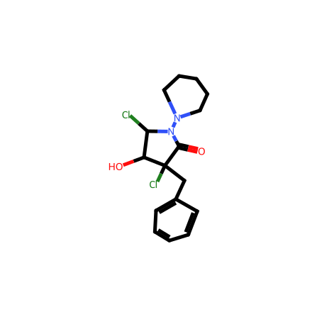 O=C1N(N2CCCCC2)C(Cl)C(O)C1(Cl)Cc1ccccc1